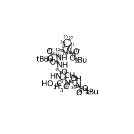 C[C@@H](C(NC(=O)CNC(=O)N[C@@H](Cc1cn(C(=O)OC(C)(C)C)c2ccccc12)C(=O)OC(C)(C)C)C(=O)O)N(C)C(=O)CNC(=O)OC(C)(C)C